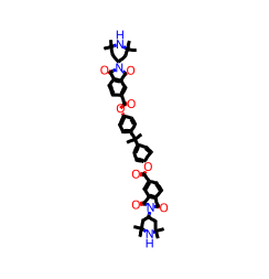 CC1(C)CC(N2C(=O)c3ccc(C(=O)Oc4ccc(C(C)(C)c5ccc(OC(=O)c6ccc7c(c6)C(=O)N(C6CC(C)(C)NC(C)(C)C6)C7=O)cc5)cc4)cc3C2=O)CC(C)(C)N1